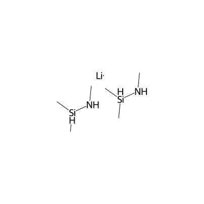 CN[SiH](C)C.CN[SiH](C)C.[Li]